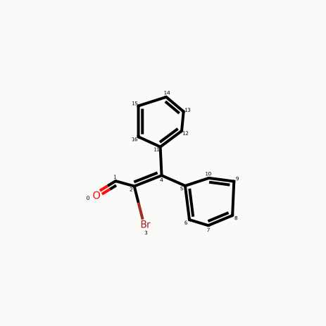 O=CC(Br)=C(c1ccccc1)c1ccccc1